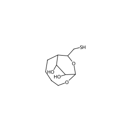 OC1C2OCCCCC(C(CS)O2)C1O